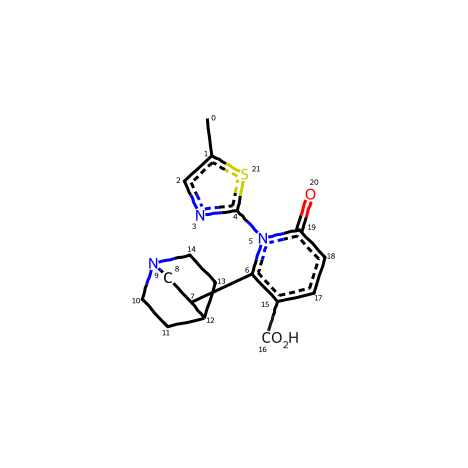 Cc1cnc(-n2c(C3CN4CCC3CC4)c(C(=O)O)ccc2=O)s1